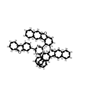 c1ccc(-c2nc(-c3ccc4c(c3)oc3ccccc34)nc(-c3c(-n4c5cc6ccccc6cc5c5cc6ccccc6cc54)ccc4oc5cc6ccccc6cc5c34)n2)cc1